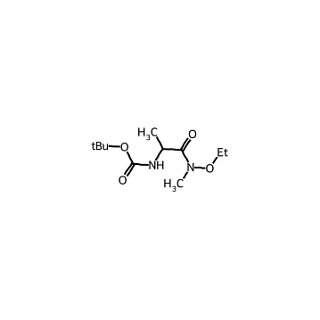 CCON(C)C(=O)C(C)NC(=O)OC(C)(C)C